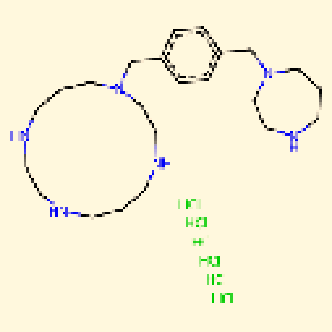 Cl.Cl.Cl.Cl.Cl.Cl.c1cc(CN2CCCNCC2)ccc1CN1CCCNCCNCCCNCC1